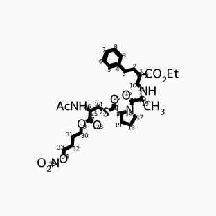 CCOC(=O)[C@H](CCc1ccccc1)CN[C@@H](C)C(=O)N1CCC[C@@H]1C(=O)SCC(NC(C)=O)C(=O)OCCCCO[N+](=O)[O-]